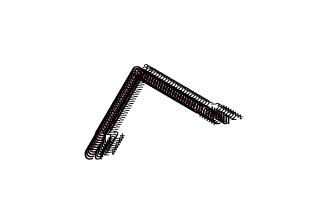 [Cu+2].[Cu+2].[Cu+2].[Cu+2].[Cu+2].[Cu+2].[Cu+2].[Cu+2].[Cu+2].[Cu+2].[Cu+2].[Cu+2].[Cu+2].[Cu+2].[Cu+2].[Cu+2].[O-2].[O-2].[O-2].[O-2].[O-2].[O-2].[O-2].[O-2].[O-2].[O-2].[O-2].[O-2].[O-2].[O-2].[O-2].[O-2].[O-2].[O-2].[O-2].[O-2].[O-2].[O-2].[O-2].[O-2].[O-2].[O-2].[O-2].[O-2].[O-2].[O-2].[O-2].[O-2].[O-2].[O-2].[O-2].[O-2].[O-2].[O-2].[O-2].[O-2].[O-2].[O-2].[O-2].[O-2].[O-2].[O-2].[O-2].[O-2].[O-2].[O-2].[O-2].[O-2].[O-2].[O-2]